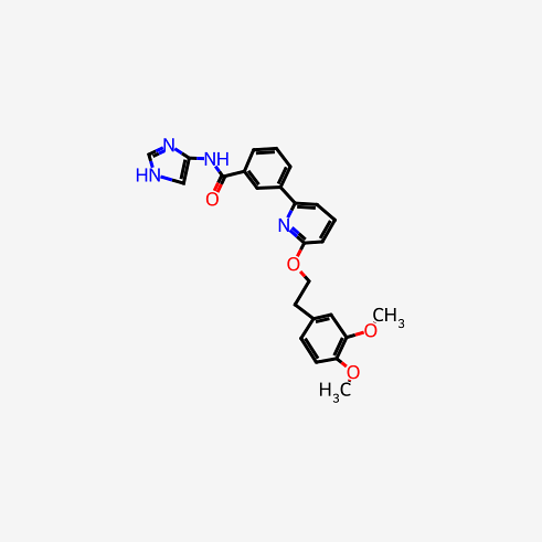 COc1ccc(CCOc2cccc(-c3cccc(C(=O)Nc4c[nH]cn4)c3)n2)cc1OC